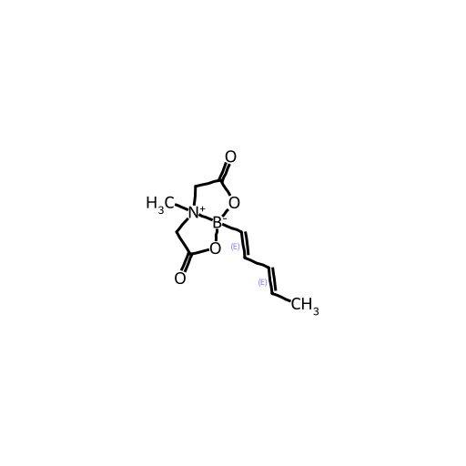 C/C=C/C=C/[B-]12OC(=O)C[N+]1(C)CC(=O)O2